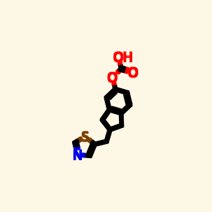 O=C(O)Oc1ccc2c(c1)CC(Cc1cncs1)C2